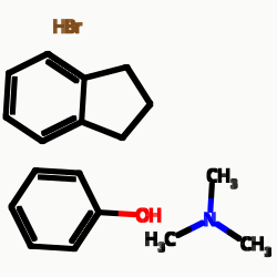 Br.CN(C)C.Oc1ccccc1.c1ccc2c(c1)CCC2